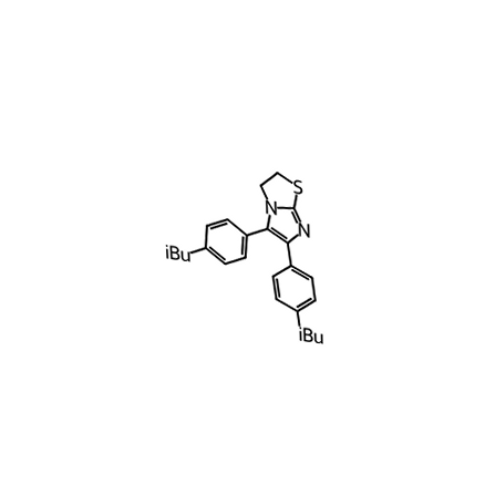 CCC(C)c1ccc(-c2nc3n(c2-c2ccc(C(C)CC)cc2)CCS3)cc1